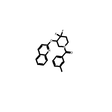 Cc1cccc(C(=O)N2CCC(F)(F)C(Oc3ccc4ccccc4n3)C2)c1